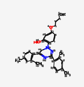 CCCCCCCCCCCCCOc1ccc(N2CC(c3ccc(C)cc3C)=NC(c3ccc(C)cc3C)=N2)c(O)c1